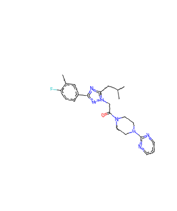 Cc1cc(-c2nc(CC(C)C)n(CC(=O)N3CCN(c4ncccn4)CC3)n2)ccc1F